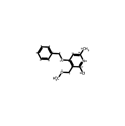 COCc1c(OCc2ccccc2)cc(C)nc1Cl